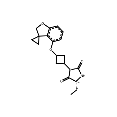 CC[C@H]1NC(=O)N(C2CC(Oc3cccc4c3C3(CC3)CO4)C2)C1=O